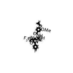 COc1cc(C(=O)NCC(O)(CF)c2cc3c(c(-c4ccc(F)cc4)n2)OCC3(N)C(F)(F)F)ccc1OC1CC1